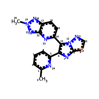 Cc1cccc(-c2nc3scnn3c2-c2ccc3nn(C)nc3n2)n1